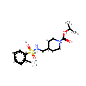 O=C(OC(C(F)(F)F)C(F)(F)F)N1CCC(CNS(=O)(=O)c2ccccc2C(F)(F)F)CC1